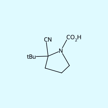 CC(C)(C)C1(C#N)CCCN1C(=O)O